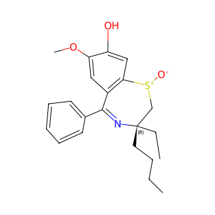 CCCC[C@]1(CC)C[S+]([O-])c2cc(O)c(OC)cc2C(c2ccccc2)=N1